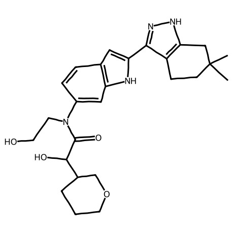 CC1(C)CCc2c(-c3cc4ccc(N(CCO)C(=O)C(O)C5CCCOC5)cc4[nH]3)n[nH]c2C1